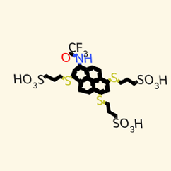 O=C(Nc1cc(SCCCS(=O)(=O)O)c2ccc3c(SCCCS(=O)(=O)O)cc(SCCCS(=O)(=O)O)c4ccc1c2c43)C(F)(F)F